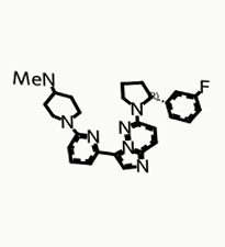 CNC1CCN(c2cccc(-c3cnc4ccc(N5CCC[C@@H]5c5cccc(F)c5)nn34)n2)CC1